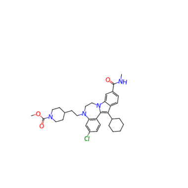 CNC(=O)c1ccc2c(C3CCCCC3)c3n(c2c1)CCN(CCC1CCN(C(=O)OC)CC1)c1cc(Cl)ccc1-3